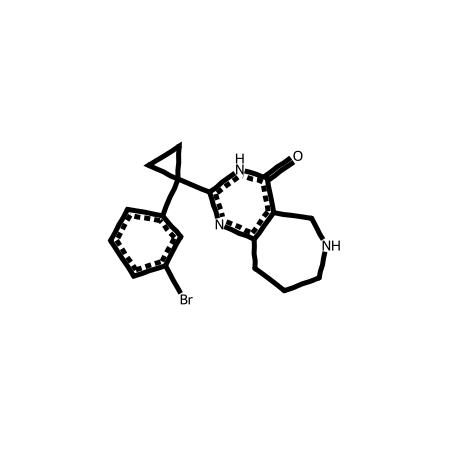 O=c1[nH]c(C2(c3cccc(Br)c3)CC2)nc2c1CNCCC2